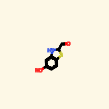 O=CC1Nc2cc(O)ccc2S1